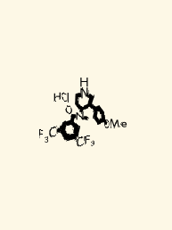 COc1ccc(C2CNCCC2N(C)C(=O)c2cc(C(F)(F)F)cc(C(F)(F)F)c2)cc1.Cl